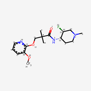 CN1CC[C@H](NC(=O)C(C)(C)COc2ncccc2OC(F)(F)F)[C@@H](F)C1